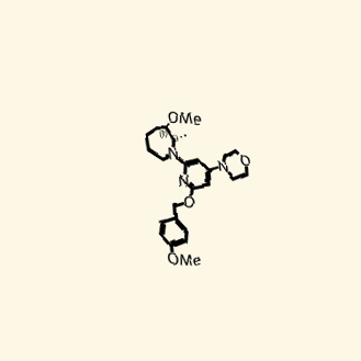 COc1ccc(COc2cc(N3CCOCC3)cc(N3CCCC[C@@H](OC)[C@@H]3C)n2)cc1